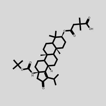 CC(C)C1=C2[C@H]3CCC4[C@@](C)(CCC5C(C)(C)[C@@H](OC(=O)CC(C)(C)C(=O)O)CC[C@@]54C)C3CC[C@@]2(NC(=O)OC(C)(C)C)CC1=O